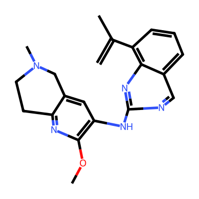 C=C(C)c1cccc2cnc(Nc3cc4c(nc3OC)CCN(C)C4)nc12